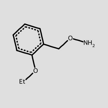 CCOc1ccccc1CON